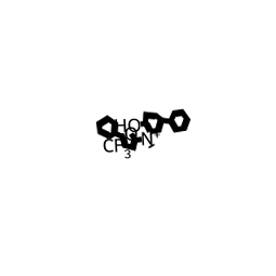 C=[N+](c1ccc(-c2ccccc2C(F)(F)F)o1)c1cc(-c2ccccc2)ccc1O